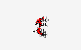 CC#C[C@@]1(O)CCC2C3CCC4=CC(=O)CCC4=C3[C@H](c3ccc(OCCO[C@H]4CC[C@@]5(C)C(C4)C[C@@H](O)[C@H]4[C@@H]6CC[C@H]([C@H](C)CCC(=O)O)[C@@]6(C)[C@@H](O)C[C@@H]45)c(C)c3)C[C@@]21C